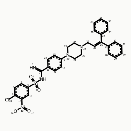 N=C(NS(=O)(=O)c1ccc(Cl)c([N+](=O)[O-])c1)c1ccc(N2CCN(CC=C(c3ccccc3)c3ccccc3)CC2)cc1